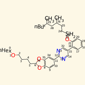 CCCCCCOCCCCC1Oc2ccc(-c3ncc(-c4ccccc4O[SiH2]CCC(C)CC(C)CCCC)cn3)cc2O1